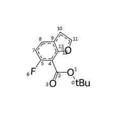 CC(C)(C)OC(=O)c1c(F)ccc2ccoc12